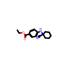 CCOC(=O)c1ccc(NC2(C#N)CCCCC2)cc1